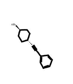 CCC[C@H]1CC[C@H](C#Cc2ccccc2)CC1